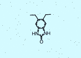 CCc1cc2[nH]c(=O)[nH]c2cc1CC